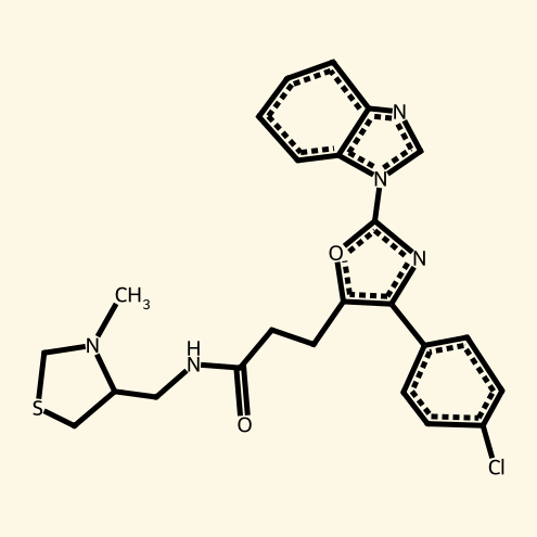 CN1CSCC1CNC(=O)CCc1oc(-n2cnc3ccccc32)nc1-c1ccc(Cl)cc1